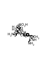 Cn1cc(-c2ccc3c(c2)CC[C@@H](C(C)(O/N=C(\C(=O)NC2C(=O)N(OS(=O)(=O)O)C2(C)C)c2csc(N)n2)C(=O)O)O3)n(CCCN)c1=N